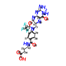 Nc1nc2ncc(CN(C(=O)C(F)(F)F)c3ccc(C(=O)NCCCC(=O)O)cc3)nc2c(=O)[nH]1